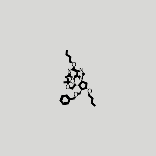 CCCCOc1nc(C)nc2c1ncn2[C@H]1C[C@H](OCCCC)[C@@H](COCc2ccccc2)[C@@H]1C1COC(C)(C)O1